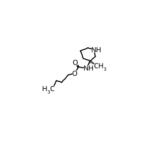 CCCCOC(=O)N[C@]1(C)CCCNC1